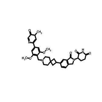 COc1cc(C2=CC(C)C(=O)C=N2)cc(OC)c1CN1CCC2(CC1)CC(c1ccc3c(c1)C(=O)N(C1CCC(=O)NC1=O)C3)C2